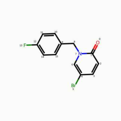 O=c1ccc(Br)cn1Cc1ccc(F)cc1